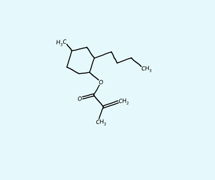 C=C(C)C(=O)OC1CCC(C)CC1CCCC